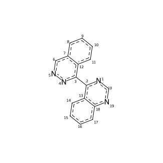 [c]1nc(-c2nncc3ccccc23)c2ccccc2n1